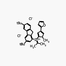 C[C](C)=[Zr+2]([C]1=CC(c2ccco2)=CC1C)[c]1cc(C(C)(C)C)cc2c1Cc1ccc(C(C)(C)C)cc1-2.[Cl-].[Cl-]